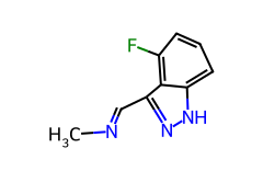 CN=Cc1n[nH]c2cccc(F)c12